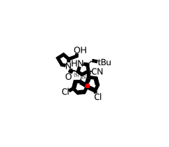 CC(C)(C)C[C@H]1N[C@H](C(=O)N2CCCC2CO)[C@@H](c2cccc(Cl)c2)[C@]1(C#N)c1ccc(Cl)cc1